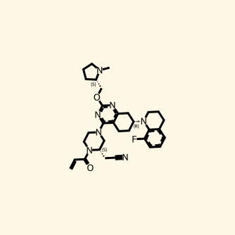 C=CC(=O)N1CCN(c2nc(OC[C@@H]3CCCN3C)nc3c2CC[C@@H](N2CCCc4cccc(F)c42)C3)C[C@@H]1CC#N